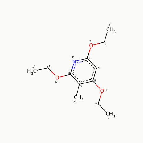 CCOc1cc(OCC)c(C)c(OCC)n1